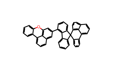 c1ccc2c(c1)Oc1cc(-c3cccc4c3-c3ccccc3C43c4ccccc4-c4cccc5cccc3c45)cc3cccc-2c13